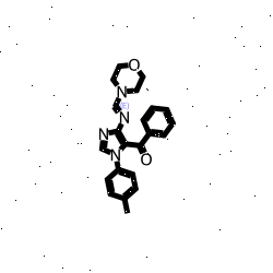 Cc1ccc(-n2cnc(/N=C/N3CCOCC3)c2C(=O)c2ccccc2)cc1